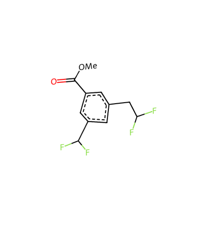 COC(=O)c1cc(CC(F)F)cc(C(F)F)c1